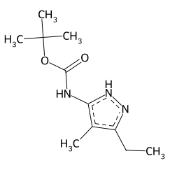 CCc1n[nH]c(NC(=O)OC(C)(C)C)c1C